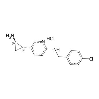 Cl.N[C@@H]1C[C@H]1c1ccc(NCc2ccc(Cl)cc2)nc1